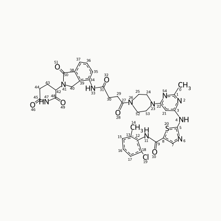 Cc1nc(Nc2ncc(C(=O)Nc3c(C)cccc3Cl)s2)cc(N2CCN(C(=O)CCC(=O)Nc3cccc4c3CN(C3CCC(=O)NC3=O)C4=O)CC2)n1